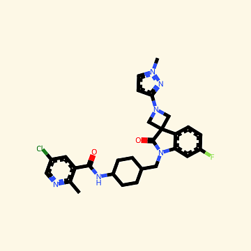 Cc1ncc(Cl)cc1C(=O)NC1CCC(CN2C(=O)C3(CN(c4ccn(C)n4)C3)c3ccc(F)cc32)CC1